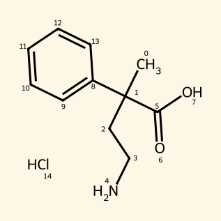 CC(CCN)(C(=O)O)c1ccccc1.Cl